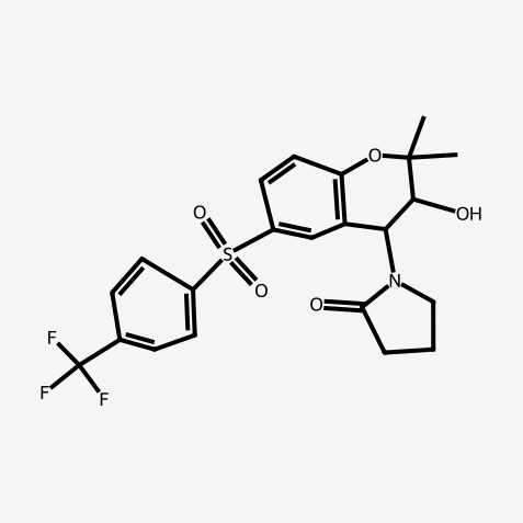 CC1(C)Oc2ccc(S(=O)(=O)c3ccc(C(F)(F)F)cc3)cc2C(N2CCCC2=O)C1O